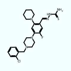 NC(=S)NN=Cc1cc(F)c(N2CCN(Cc3ccccc3Cl)CC2)cc1N1CCCCC1